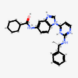 C[C@H](Nc1nccc(-n2cnc3cc(NC(=O)C4CCCCC4)ccc32)n1)c1ccccc1